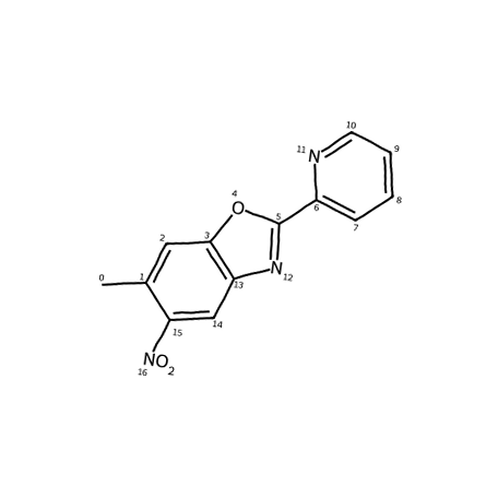 Cc1cc2oc(-c3ccccn3)nc2cc1[N+](=O)[O-]